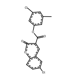 CCc1ccc2oc(=O)c(C(=O)Oc3cc(C)cc(Cl)c3)cc2c1